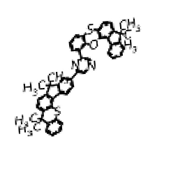 CC1(C)c2ccccc2Sc2c1ccc1c2-c2ccc(-c3cncc(-c4cccc5c4Oc4c(ccc6c4-c4ccccc4C6(C)C)S5)n3)cc2C1(C)C